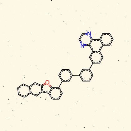 c1cc(-c2cccc(-c3cccc4c3oc3cc5ccccc5cc34)c2)cc(-c2ccc3c4ccccc4c4nccnc4c3c2)c1